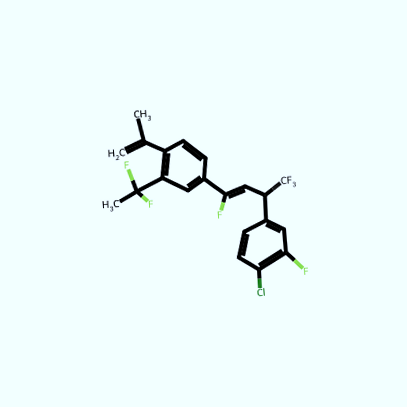 C=C(C)c1ccc(/C(F)=C/C(c2ccc(Cl)c(F)c2)C(F)(F)F)cc1C(C)(F)F